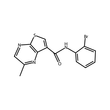 Cc1cnc2scc(C(=O)Nc3ccccc3Br)c2n1